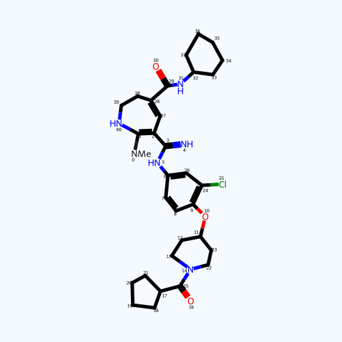 CNC1=C(C(=N)Nc2ccc(OC3CCN(C(=O)C4CCCC4)CC3)c(Cl)c2)C=C(C(=O)NC2CCCCC2)CCN1